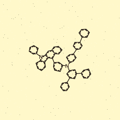 c1ccc(-c2ccc(-c3ccc(N(c4cc(-c5ccccc5)cc(-c5ccccc5)c4)c4cccc(-c5c6ccccc6cc6c5c5ccccc5n6-c5ccccc5)c4)cc3)cc2)cc1